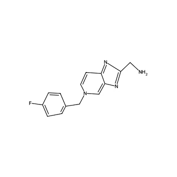 NCc1nc2ccn(Cc3ccc(F)cc3)cc-2n1